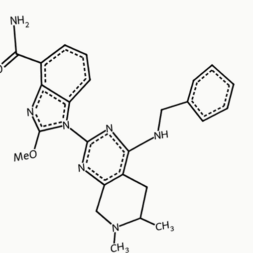 COc1nc2c(C(N)=O)cccc2n1-c1nc2c(c(NCc3ccccc3)n1)CC(C)N(C)C2